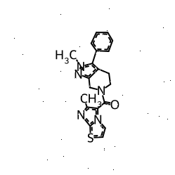 Cc1nc2sccn2c1C(=O)N1CCc2c(nn(C)c2-c2ccccc2)C1